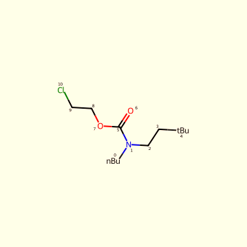 CCCCN(CCC(C)(C)C)C(=O)OCCCl